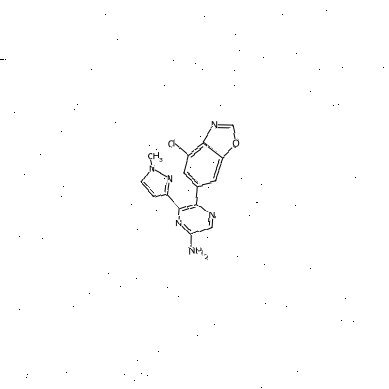 Cn1ccc(-c2nc(N)cnc2-c2cc(Cl)c3ncoc3c2)n1